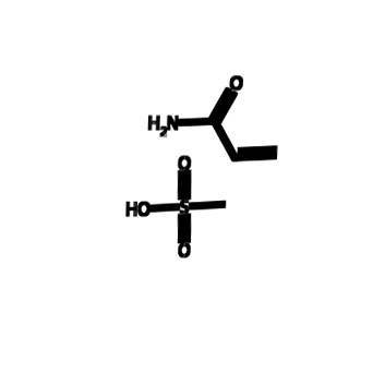 C=CC(N)=O.CS(=O)(=O)O